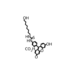 O=C(O)c1cc(NC(=S)NCCCCCCCCO)ccc1-c1c2ccc(=O)cc-2oc2cc(O)ccc12